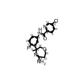 CC1(c2cc(NC(=O)c3ccc(Cl)cn3)ccc2F)COCCC(N)=N1